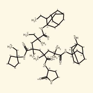 CCC1C2CC3CC(C2)CC1(OC(=O)C(C)(CC)CC(C)(CC(C)(CC(C)(C)C(=O)OC12CC4CC(CC(O)(C4)C1)C2)C(=O)OC1CCOC1=O)C(=O)OC1(CC)CCCC1)C3